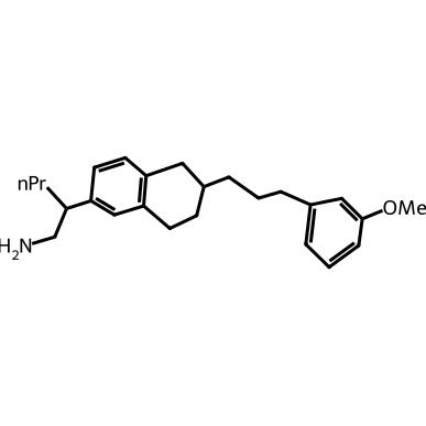 CCCC(CN)c1ccc2c(c1)CCC(CCCc1cccc(OC)c1)C2